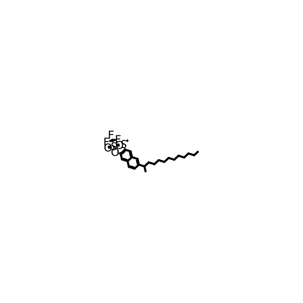 CCCCCCCCCCCC(C)c1ccc2cc(OS(=O)(=O)C(F)(F)F)c(SC)cc2c1